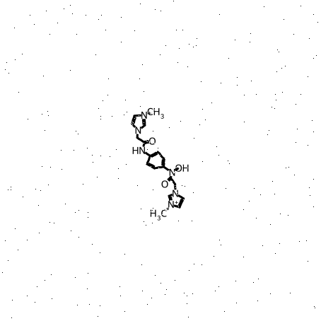 C[n+]1ccn(CC(=O)Nc2ccc(N(O)C(=O)Cn3cc[n+](C)c3)cc2)c1